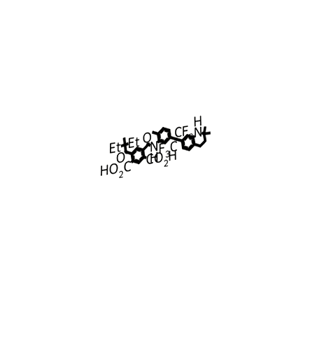 CCC(C)(CC)C(=O)c1cc(C(=O)Nc2cc(C(c3ccc4c(c3)NC(C)(C)CC4)(C(F)(F)F)C(F)(F)F)ccc2C)c(C(=O)O)cc1C(=O)O